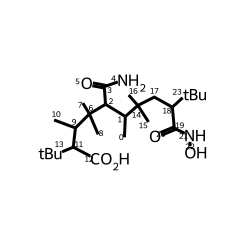 CC(C(C(N)=O)C(C)(C)C(C)C(C(=O)O)C(C)(C)C)C(C)(C)CC(C(=O)NO)C(C)(C)C